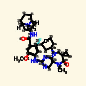 COc1cc(C(=O)NC2C[C@H]3CCC[C@@H](C2)N3C)c(F)cc1Nc1ncc2c(n1)N(C1CCCCC1)CC1(CC1)C(=O)N2C